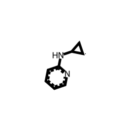 [CH]1CC1Nc1ccccn1